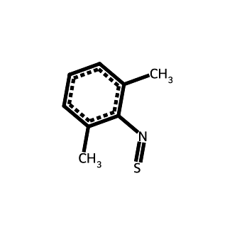 Cc1cccc(C)c1N=S